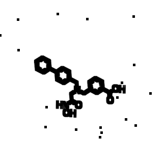 O=C(CN(Cc1ccc(-c2ccccc2)cc1)Cc1cccc(C(=O)O)c1)NO